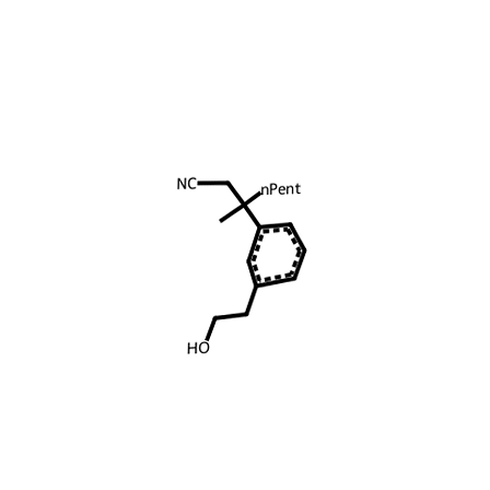 CCCCCC(C)(CC#N)c1cccc(CCO)c1